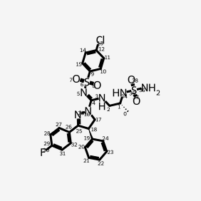 C[C@H](CN/C(=N\S(=O)(=O)c1ccc(Cl)cc1)N1C[C@@H](c2ccccc2)C(c2ccc(F)cc2)=N1)NS(N)(=O)=O